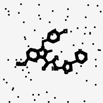 COc1ccc2c(c1)c(C(=O)C(=O)Nc1nc(-c3cccnc3)co1)c(C)n2Cc1ccc(Cl)cc1